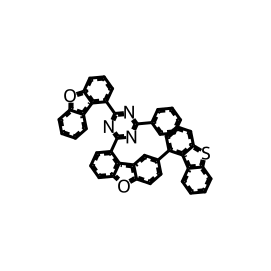 c1ccc(-c2nc(-c3cccc4oc5ccccc5c34)nc(-c3cccc4oc5ccc(-c6cccc7sc8ccccc8c67)cc5c34)n2)cc1